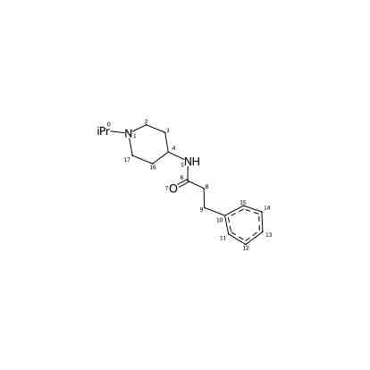 CC(C)N1CCC(NC(=O)CCc2ccccc2)CC1